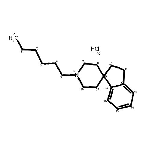 CCCCCCN1CCC2(CCc3ccccc32)CC1.Cl